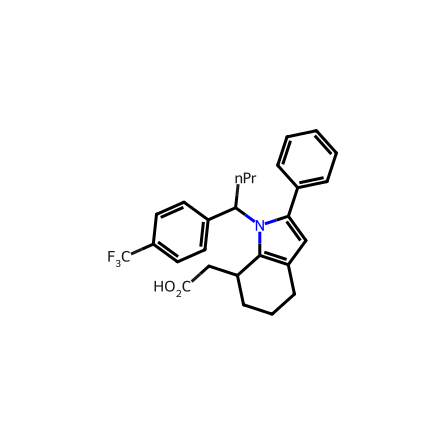 CCCC(c1ccc(C(F)(F)F)cc1)n1c(-c2ccccc2)cc2c1C(CC(=O)O)CCC2